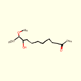 CCCCCCCCC(OCCCC)C(O)CCCCCCCC(=O)OC